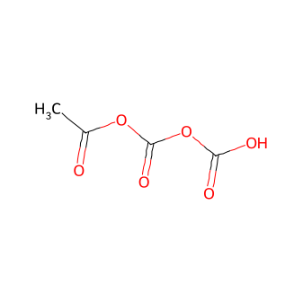 CC(=O)OC(=O)OC(=O)O